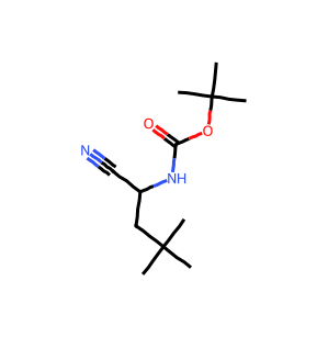 CC(C)(C)CC(C#N)NC(=O)OC(C)(C)C